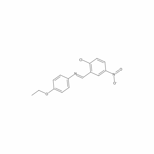 CCOc1ccc(/N=C/c2cc([N+](=O)[O-])ccc2Cl)cc1